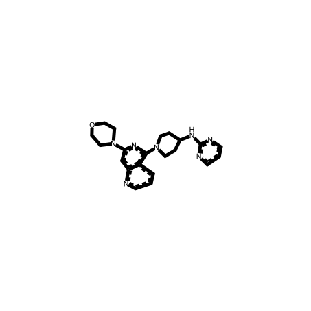 c1cnc(NC2CCN(c3nc(N4CCOCC4)cc4ncccc34)CC2)nc1